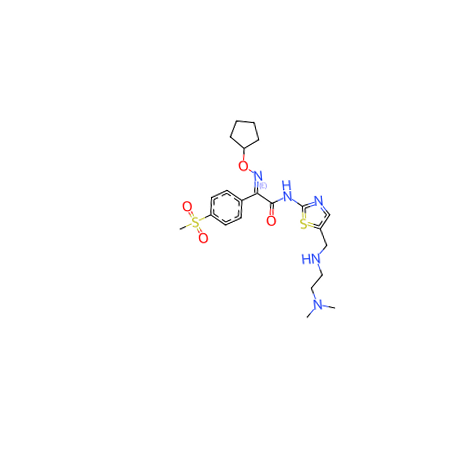 CN(C)CCNCc1cnc(NC(=O)/C(=N/OC2CCCC2)c2ccc(S(C)(=O)=O)cc2)s1